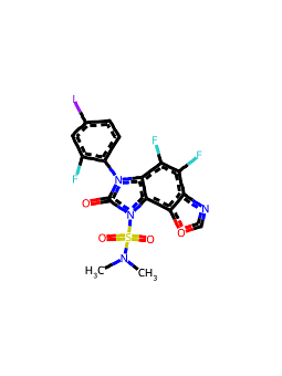 CN(C)S(=O)(=O)n1c(=O)n(-c2ccc(I)cc2F)c2c(F)c(F)c3ncoc3c21